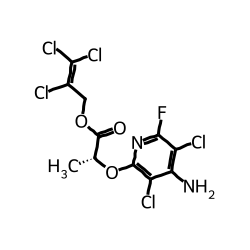 C[C@@H](Oc1nc(F)c(Cl)c(N)c1Cl)C(=O)OCC(Cl)=C(Cl)Cl